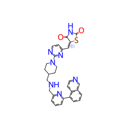 O=C1NC(=O)/C(=C\c2ccnc(N3CCC(CNCc4cccc(-c5cccc6cnccc56)n4)CC3)n2)S1